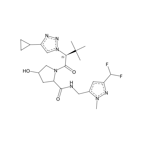 Cn1nc(C(F)F)cc1CNC(=O)C1CC(O)CN1C(=O)[C@@H](n1cc(C2CC2)nn1)C(C)(C)C